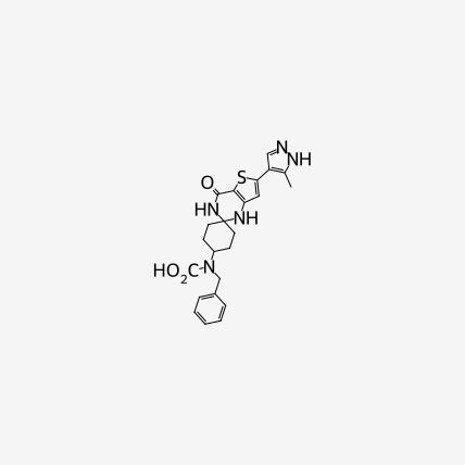 Cc1[nH]ncc1-c1cc2c(s1)C(=O)NC1(CCC(N(Cc3ccccc3)C(=O)O)CC1)N2